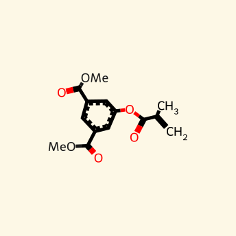 C=C(C)C(=O)Oc1cc(C(=O)OC)cc(C(=O)OC)c1